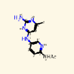 CC(=O)Nc1ccc(Nc2cc(C)nc(N)n2)cn1